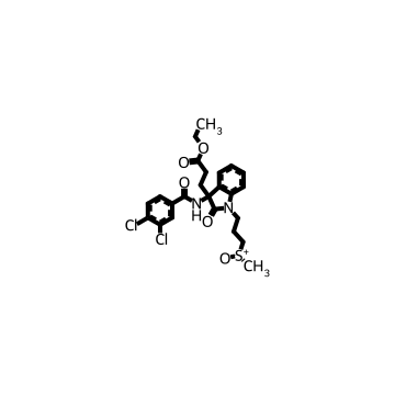 CCOC(=O)CCC1(NC(=O)c2ccc(Cl)c(Cl)c2)C(=O)N(CCC[S+](C)[O-])c2ccccc21